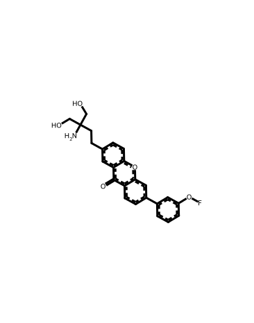 NC(CO)(CO)CCc1ccc2oc3cc(-c4cccc(OF)c4)ccc3c(=O)c2c1